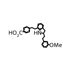 COc1cccc(CCC2Cc3cccc(CCc4ccc(C(=O)O)cc4)c3N2)c1